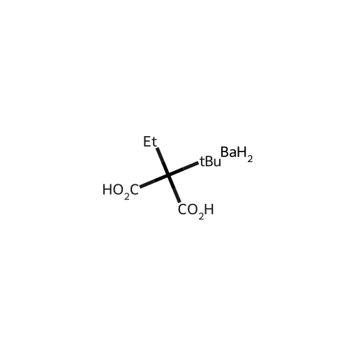 CCC(C(=O)O)(C(=O)O)C(C)(C)C.[BaH2]